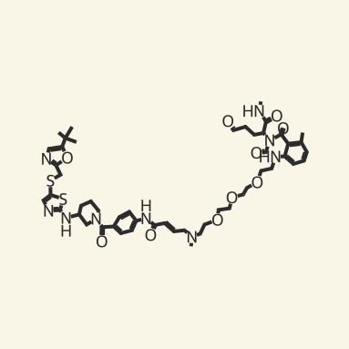 CNC(=O)C(CCC=O)N(C=O)C(=O)c1c(C)cccc1NCCOCCOCCOCCN(C)C/C=C/C(=O)Nc1ccc(C(=O)N2CCCC(Nc3ncc(SCc4ncc(C(C)(C)C)o4)s3)C2)cc1